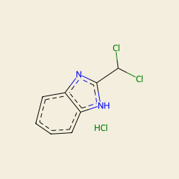 Cl.ClC(Cl)c1nc2ccccc2[nH]1